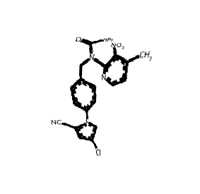 CCCC(=O)N(Cc1ccc(-n2cc(Cl)cc2C#N)cc1)c1nccc(C)c1[N+](=O)[O-]